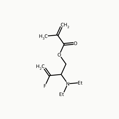 C=C(C)C(=O)OCC(C(=C)F)N(CC)CC